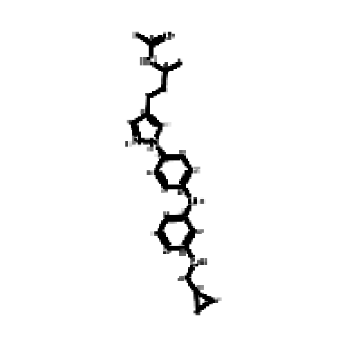 CC(=O)NC(C)CCc1cnn(-c2ccc(Oc3cccc(OCC4CC4)c3)cc2)c1